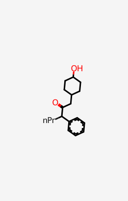 CCCC(C(=O)CC1CCC(O)CC1)c1ccccc1